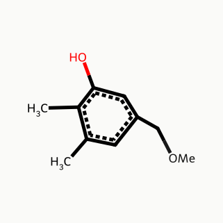 COCc1cc(C)c(C)c(O)c1